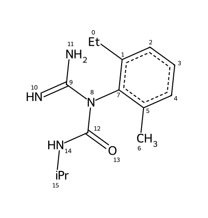 CCc1cccc(C)c1N(C(=N)N)C(=O)NC(C)C